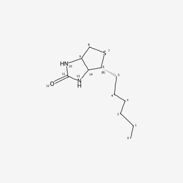 CCCCCC[C@H]1SCC2NC(=O)NC21